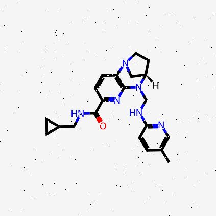 Cc1ccc(NCN2c3nc(C(=O)NCC4CC4)ccc3N3CC[C@H]2C3)nc1